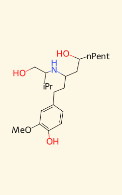 CCCCCC(O)CC(CCc1ccc(O)c(OC)c1)NC(CO)C(C)C